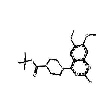 COc1cc2nc(Cl)nc(N3CCN(C(=O)OC(C)(C)C)CC3)c2cc1OC